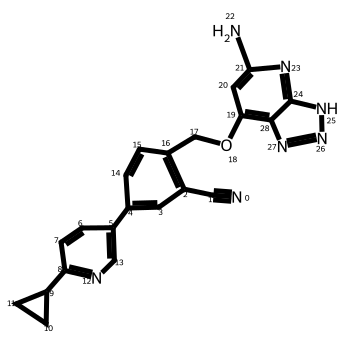 N#Cc1cc(-c2ccc(C3CC3)nc2)ccc1COc1cc(N)nc2[nH]nnc12